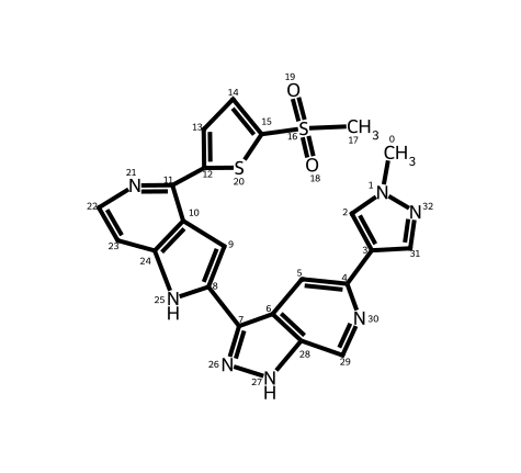 Cn1cc(-c2cc3c(-c4cc5c(-c6ccc(S(C)(=O)=O)s6)nccc5[nH]4)n[nH]c3cn2)cn1